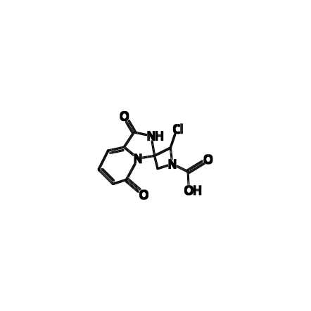 O=C1NC2(CN(C(=O)O)C2Cl)n2c1cccc2=O